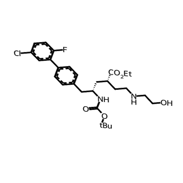 CCOC(=O)[C@H](CCNCCO)C[C@@H](Cc1ccc(-c2cc(Cl)ccc2F)cc1)NC(=O)OC(C)(C)C